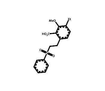 CCc1ccc(CCS(=O)(=O)c2ccccc2)c(C(=O)O)c1OC